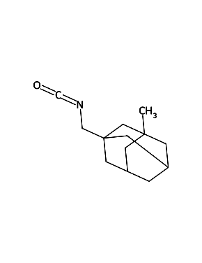 CC12CC3CC(C1)CC(CN=C=O)(C3)C2